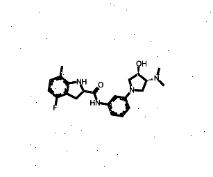 Cc1ccc(F)c2c1NC(C(=O)Nc1cccc(N3C[C@@H](O)[C@H](N(C)C)C3)c1)C2